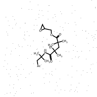 CCC(C)(CC(C)(C)C(=O)OCC1CO1)C(=O)NC(C)(C)CC(C)=O